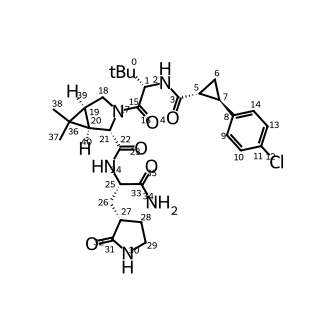 CC(C)(C)[C@H](NC(=O)[C@@H]1C[C@H]1c1ccc(Cl)cc1)C(=O)N1C[C@H]2[C@@H]([C@H]1C(=O)N[C@@H](C[C@@H]1CCNC1=O)C(N)=O)C2(C)C